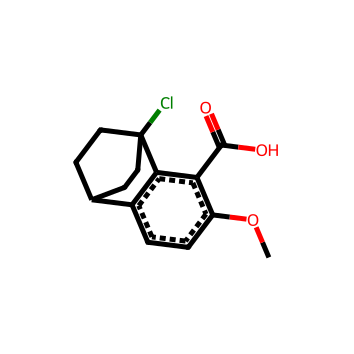 COc1ccc2c(c1C(=O)O)C1(Cl)CCC2CC1